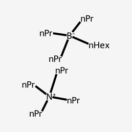 CCCCCC[B-](CCC)(CCC)CCC.CCC[N+](CCC)(CCC)CCC